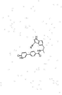 CC(Cc1ccc2[nH]cc(C#N)c2c1)NC(=O)c1ccc(-c2ccc(=O)[nH]c2)cc1